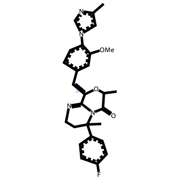 COc1cc(/C=C2\OC(C)C(=O)N3C2=NCCC3(C)c2ccc(F)cc2)ccc1-n1cnc(C)c1